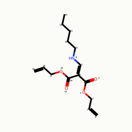 C=CCOC(=O)C(=CNCCCCC)C(=O)OCC=C